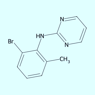 Cc1cccc(Br)c1Nc1ncccn1